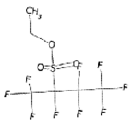 CCOS(=O)(=O)C(F)(C(F)(F)F)C(F)(F)C(F)(F)F